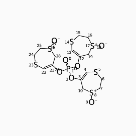 O=P(OC1=CSCC[S+]([O-])C1)(OC1=CSCC[S+]([O-])C1)OC1=CSCC[S+]([O-])C1